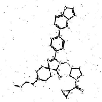 COCCN1CCC2(CC1)N=C(c1ccc(-c3ccc4occc4c3)cc1)N(C[C@@H]1CCN(C(=O)C3CC3)C1)C2O